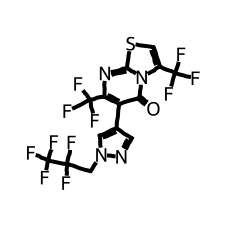 O=c1c(-c2cnn(CC(F)(F)C(F)(F)F)c2)c(C(F)(F)F)nc2scc(C(F)(F)F)n12